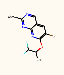 CSc1ncc2cc(Br)c(OC(C)C(F)F)nc2n1